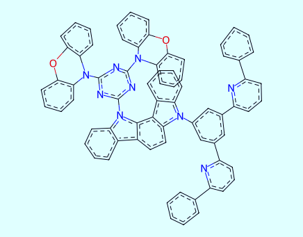 c1ccc(-c2cccc(-c3cc(-c4cccc(-c5ccccc5)n4)cc(-n4c5ccccc5c5c4ccc4c6ccccc6n(-c6nc(N7c8ccccc8Oc8ccccc87)nc(N7c8ccccc8Oc8ccccc87)n6)c45)c3)n2)cc1